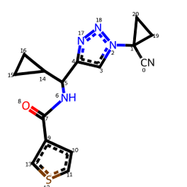 N#CC1(n2cc(C(NC(=O)c3ccsc3)C3CC3)nn2)CC1